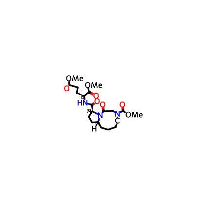 COC(=O)CC[C@H](NC(=O)[C@@H]1CC[C@H]2CCCCN(C(=O)OC)CC(=O)N21)C(=O)OC